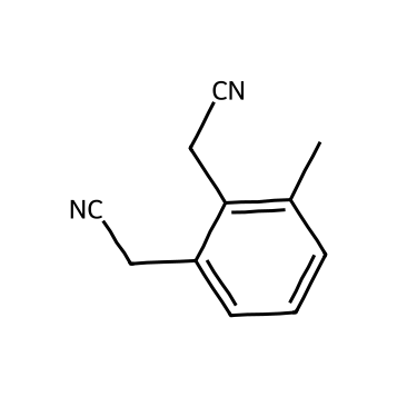 Cc1cccc(CC#N)c1CC#N